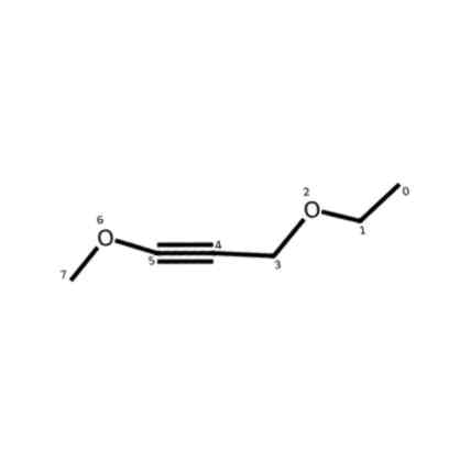 CCOCC#COC